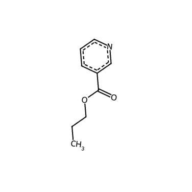 CCCOC(=O)c1cccnc1